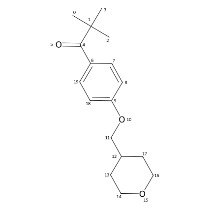 CC(C)(C)C(=O)c1ccc(OCC2CCOCC2)cc1